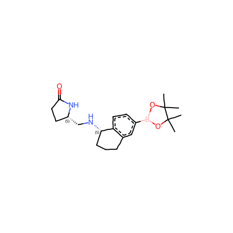 CC1(C)OB(c2ccc3c(c2)CCC[C@@H]3NC[C@@H]2CCC(=O)N2)OC1(C)C